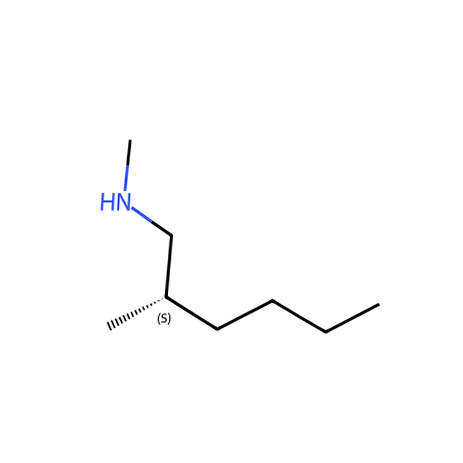 CCCC[C@H](C)CNC